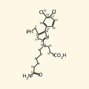 CC(C)Cc1sc(N(CCCCCC(N)=O)CCC(=O)O)nc1-c1ccc(Cl)c(Cl)c1